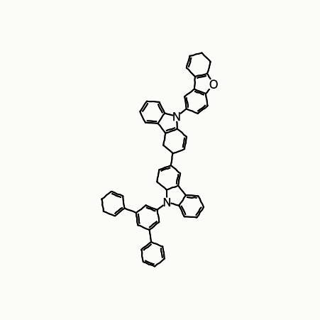 C1=CC(c2cc(-c3ccccc3)cc(N3c4ccccc4C4=CC(C5C=Cc6c(c7ccccc7n6-c6ccc7oc8c(c7c6)C=CCC8)C5)=CCC43)c2)=CCC1